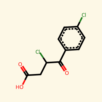 O=C(O)CC(Cl)C(=O)c1ccc(Cl)cc1